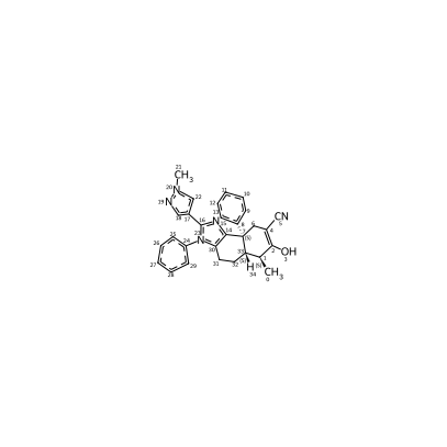 C[C@@H]1C(O)=C(C#N)C[C@]2(c3ccccc3)c3nc(-c4cnn(C)c4)n(-c4ccccc4)c3CC[C@@H]12